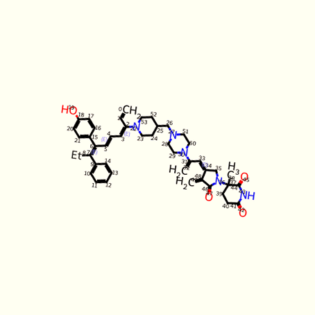 C=C\C(=C/C=C/C(=C(/CC)c1ccccc1)c1ccc(O)cc1)N1CCC(CN2CCN(C(=C)/C=C3/CN(C4(C)CCC(=O)NC4=O)C(=O)C3=C)CC2)CC1